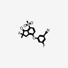 CC1(F)Cc2c(Oc3cc(F)cc(C#N)c3)ccc(S(C)(=O)=O)c2C1=O